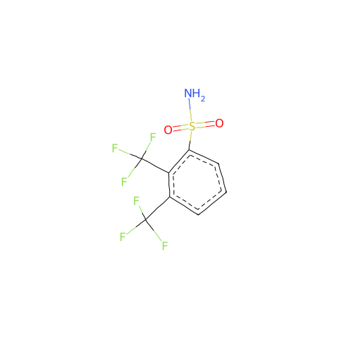 NS(=O)(=O)c1cccc(C(F)(F)F)c1C(F)(F)F